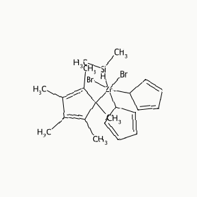 CC1=C(C)[C](C)([Zr]([Br])([Br])([CH]2C=CC=C2)([CH]2C=CC=C2)[SiH](C)C)C(C)=C1C